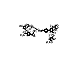 CCN(c1cc(-c2ccc(C#CCOCCOCC(=O)N[C@H](C(=O)N3C[C@H](O)C[C@H]3C(=O)N[C@@H](C)c3ccc(-c4scnc4C)cc3)C(C)(C)C)cc2)cc(C(=O)NCc2c(C)cc(C)[nH]c2=O)c1C)C1CCOCC1